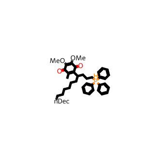 CCCCCCCCCCCCCCCCC(CCC[PH](c1ccccc1)(c1ccccc1)c1ccccc1)C1=C(C)C(=O)C(OC)=C(OC)C1=O